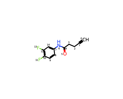 C#CCCC(=O)Nc1ccc(F)c(F)c1